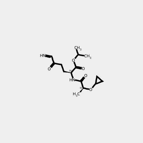 CC(C)OC(=O)[C@H](CCC(=O)C=N)NC(=O)[C@H](C)OC1CC1